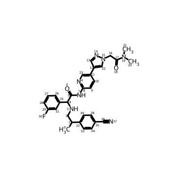 CC(CNC(C(=O)Nc1ccc(-c2cnn(CC(=O)N(C)C)c2)cn1)c1cccc(F)c1)c1ccc(C#N)cc1